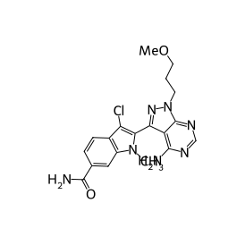 COCCCn1nc(-c2c(Cl)c3ccc(C(N)=O)cc3n2C)c2c(N)ncnc21